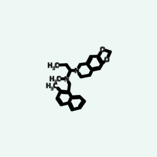 CCC(N(C)Cc1c(C)ccc2ccccc12)N1CCc2cc3c(cc2C1)OCO3